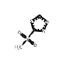 CS(=O)(=O)c1nn[c]s1